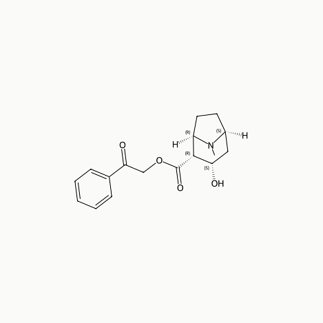 CN1[C@H]2CC[C@@H]1[C@@H](C(=O)OCC(=O)c1ccccc1)[C@@H](O)C2